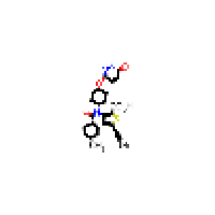 CC(C)(C)C#Cc1cc(N(C(=O)[C@H]2CC[C@H](C)CC2)[C@H]2CC[C@H](Oc3ccc(=O)[nH]n3)CC2)c(C(=O)O)s1